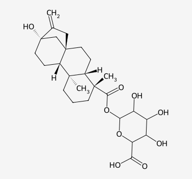 C=C1C[C@@]23CC[C@H]4[C@@](C)(CCC[C@@]4(C)C(=O)OC4OC(C(=O)O)C(O)C(O)C4O)[C@@H]2CC[C@]1(O)C3